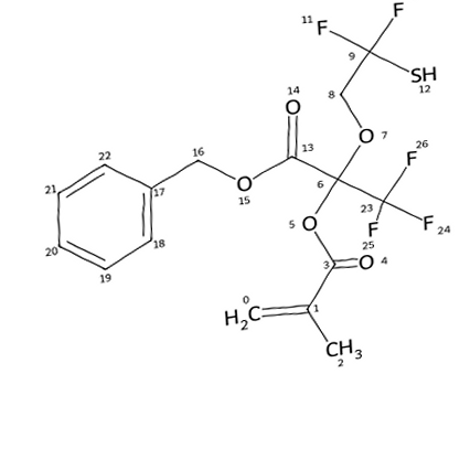 C=C(C)C(=O)OC(OCC(F)(F)S)(C(=O)OCc1ccccc1)C(F)(F)F